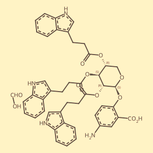 Nc1ccc(O[C@@H]2OC[C@@H](OC(=O)CCc3c[nH]c4ccccc34)[C@H](OC(=O)CCc3c[nH]c4ccccc34)[C@H]2OC(=O)CCc2c[nH]c3ccccc23)c(C(=O)O)c1.O=CO